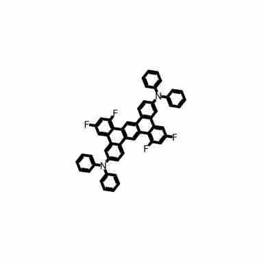 Fc1cc(F)c2c(c1)c1cc(N(c3ccccc3)c3ccccc3)ccc1c1cc3c(cc12)c1ccc(N(c2ccccc2)c2ccccc2)cc1c1cc(F)cc(F)c13